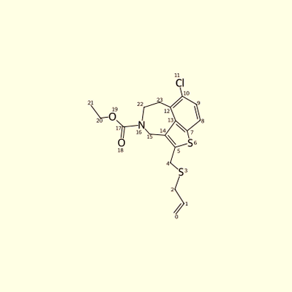 C=CCSCc1sc2ccc(Cl)c3c2c1CN(C(=O)OCC)CC3